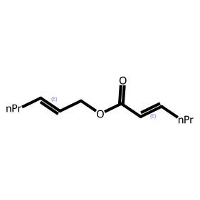 CCC/C=C/COC(=O)/C=C/CCC